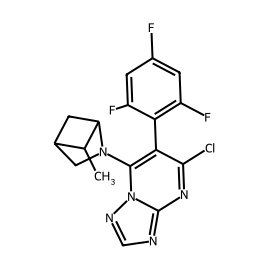 CC1C2CC1N(c1c(-c3c(F)cc(F)cc3F)c(Cl)nc3ncnn13)C2